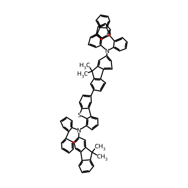 CC1(C)c2cc(-c3ccc4sc5c(N(c6ccc7c(c6)C(C)(C)c6ccccc6-7)c6ccccc6-c6ccccc6)cccc5c4c3)ccc2-c2ccc(N(c3ccccc3-c3ccccc3)c3cccc4c3oc3ccccc34)cc21